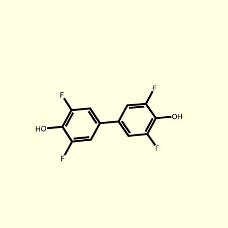 Oc1c(F)cc(-c2cc(F)c(O)c(F)c2)cc1F